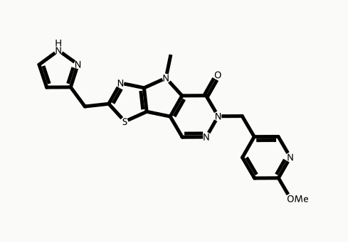 COc1ccc(Cn2ncc3c4sc(Cc5cc[nH]n5)nc4n(C)c3c2=O)cn1